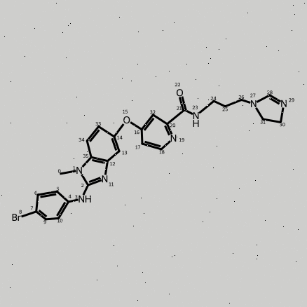 Cn1c(Nc2ccc(Br)cc2)nc2cc(Oc3ccnc(C(=O)NCCCN4C=NCC4)c3)ccc21